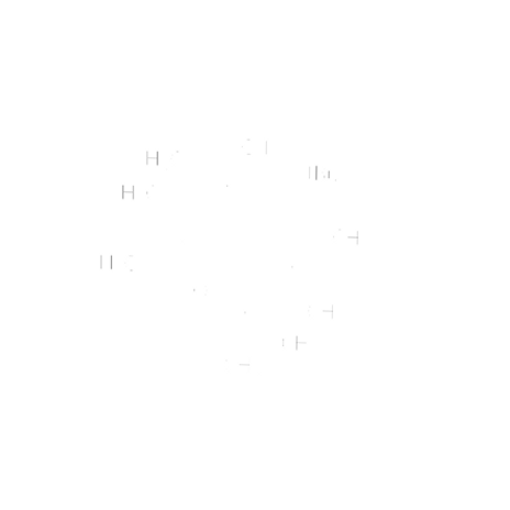 CC(C)(C)C1C(C)(C)C(C)(C)OC(C)(C)C1(C)C